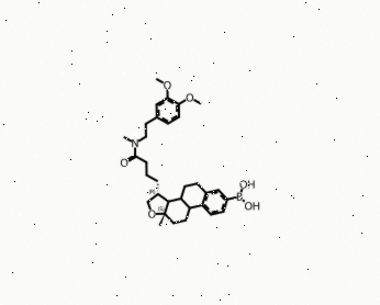 COc1ccc(CCN(C)C(=O)CCC[C@H]2CO[C@@]3(C)CCC4c5ccc(B(O)O)cc5CCC4C23)cc1OC